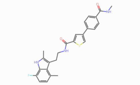 CNC(=O)c1ccc(-c2csc(C(=O)NCCc3c(C)[nH]c4c(F)ccc(C)c34)c2)cc1